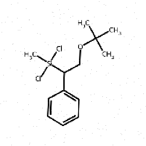 CC(C)(C)OCC(c1ccccc1)[Si](C)(Cl)Cl